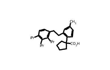 Cc1ccc(C2(C(=O)O)CCCC2)c(CCc2ccc(C(C)C)c(C(C)C)c2C(C)C)c1